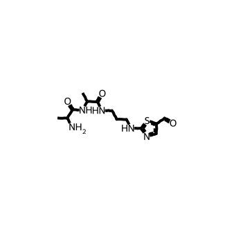 CC(N)C(=O)NC(C)C(=O)NCCCNc1ncc(C=O)s1